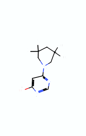 CC1(C)CN(c2cc(O)ncn2)CC(C)(C)C1